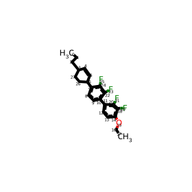 CCCC1C=CC(c2ccc(-c3ccc(OCC)c(F)c3F)c(F)c2F)CC1